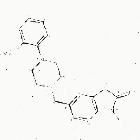 COc1ccccc1N1CCN(Cc2ccc3c(c2)sc(=O)n3C)CC1